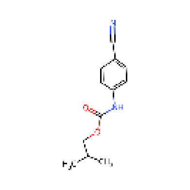 CC(C)COC(=O)Nc1ccc(C#N)cc1